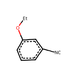 [C-]#[N+]c1cccc(OCC)c1